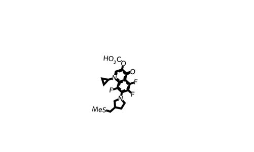 CSCC1CCN(c2c(F)c(F)c3c(=O)c(OC(=O)O)cn(C4CC4)c3c2F)C1